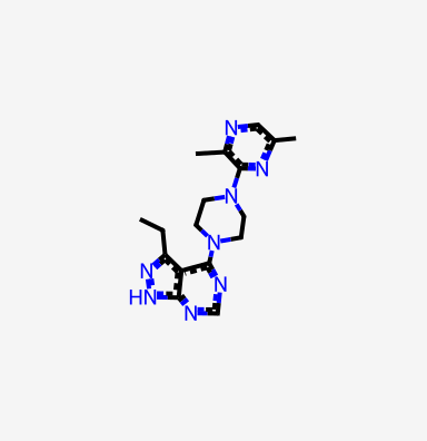 CCc1n[nH]c2ncnc(N3CCN(c4nc(C)cnc4C)CC3)c12